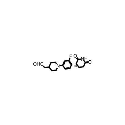 O=CCC1CCN(c2ccc([C@H]3CCC(=O)NC3=O)c(F)c2)CC1